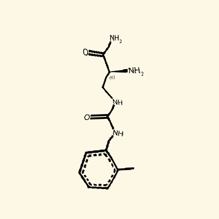 Cc1ccccc1NC(=O)NC[C@H](N)C(N)=O